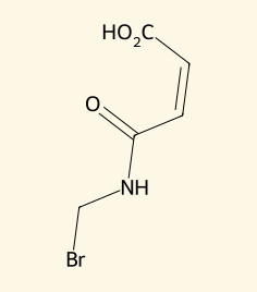 O=C(O)/C=C\C(=O)NCBr